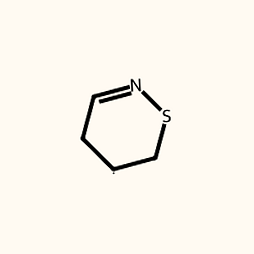 [CH]1CC=NSC1